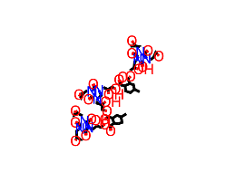 CC1CCC(C(=O)OCC(O)Cn2c(=O)n(CC3CO3)c(=O)n(CC3CO3)c2=O)C(C(=O)OCC(O)CN2CN(CC(O)COC(=O)C3CCC(C)CC3C(=O)OCC(O)Cn3c(=O)n(CC4CO4)c(=O)n(CC4CO4)c3=O)C(=O)N(CC3CO3)C2=O)C1